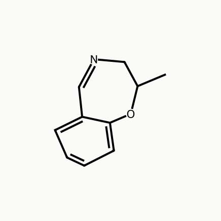 CC1CN=Cc2ccccc2O1